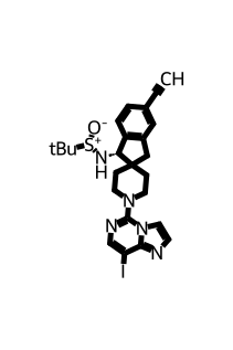 C#Cc1ccc2c(c1)CC1(CCN(c3ncc(I)c4nccn34)CC1)[C@@H]2N[S+]([O-])C(C)(C)C